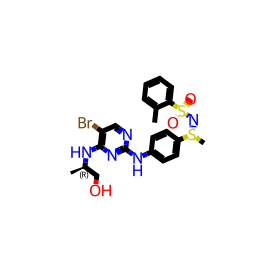 Cc1ccccc1S(=O)(=O)N=S(C)c1ccc(Nc2ncc(Br)c(N[C@H](C)CO)n2)cc1